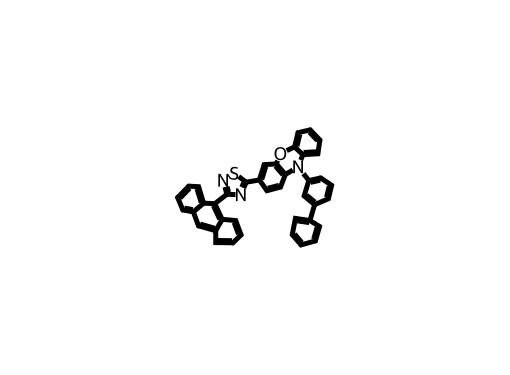 c1ccc(-c2cccc(N3c4ccccc4Oc4cc(-c5nc(-c6c7ccccc7cc7ccccc67)ns5)ccc43)c2)cc1